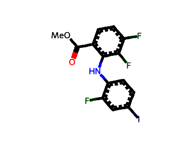 COC(=O)c1ccc(F)c(F)c1Nc1ccc(I)cc1F